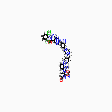 CN1CN(c2c(Cl)cccc2Cl)C(=O)c2cnc(Nc3ccc(N4CCN(CC5CCN(c6cccc7c6n(C)c(=O)n7C6CCC(=O)NC6=O)CC5)CC4)cc3)nc21